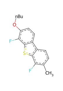 CCCCOc1ccc2c(sc3c(F)c(C)ccc32)c1F